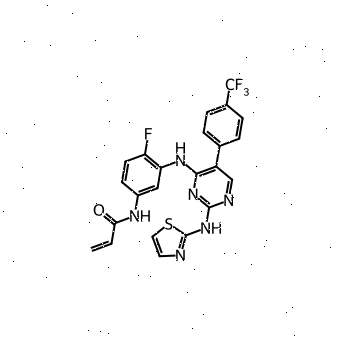 C=CC(=O)Nc1ccc(F)c(Nc2nc(Nc3nccs3)ncc2-c2ccc(C(F)(F)F)cc2)c1